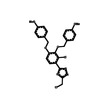 COc1ccc(COc2ccc(-c3nnc(CCl)o3)c(Cl)c2OCc2ccc(OC)cc2)cc1